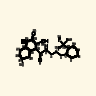 O=C(NCCCc1ccccc1C(F)(F)F)c1c(O)c(=O)[nH]c2ccc(I)cc12